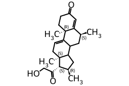 C[C@@H]1CC2C3C[C@H](C)C4=CC(=O)CC[C@]4(C)C3=CC[C@]2(C)[C@H]1C(=O)CO